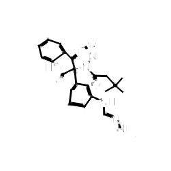 CC(C)(C)CC(=O)N(N)[C@](C(=O)O)(C(=C=O)c1ccccc1)c1cccc(NC=NN)c1